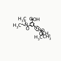 CCCN(CCC)C(=O)c1cc(C(=O)O)cc(N2CCN(C(=O)OC(C)(C)C)CC2)c1